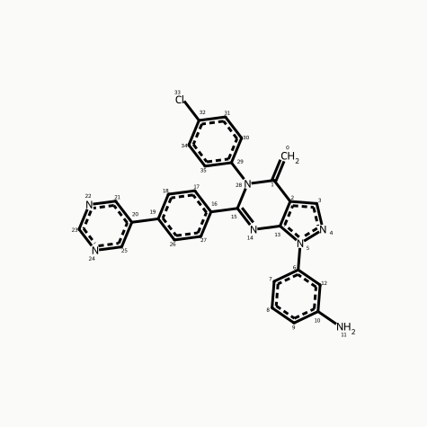 C=C1c2cnn(-c3cccc(N)c3)c2N=C(c2ccc(-c3cncnc3)cc2)N1c1ccc(Cl)cc1